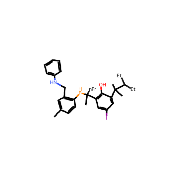 CCCC(C)(Pc1ccc(C)cc1CNc1ccccc1)c1cc(I)cc(C(C)(C)C(CC)CC)c1O